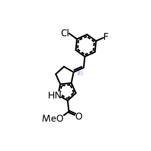 COC(=O)c1cc2c([nH]1)CC/C2=C\c1cc(F)cc(Cl)c1